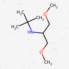 COCC(COC)NC(C)(C)C